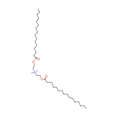 CCCCCCCCCCCCCCCC(=O)OCC[N+](C)(C)CCOC(=O)CCCCCCCCCCCCCCC